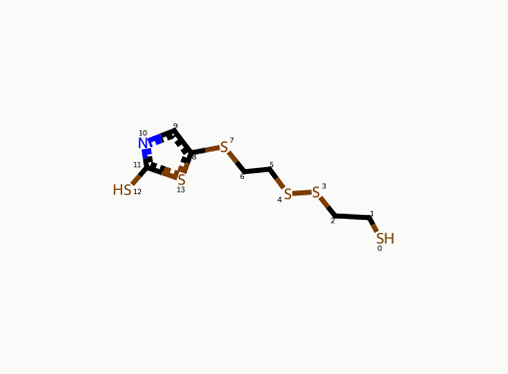 SCCSSCCSc1cnc(S)s1